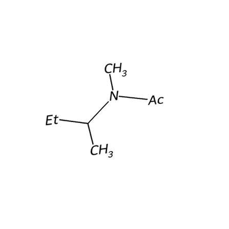 CCC(C)N(C)C(C)=O